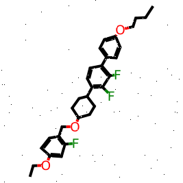 CCCCOc1ccc(-c2ccc(C3CCC(OCc4ccc(OCC)cc4F)CC3)c(F)c2F)cc1